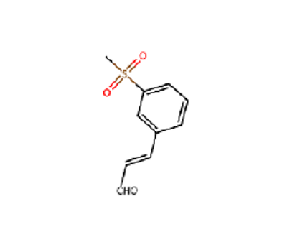 CS(=O)(=O)c1cccc(C=CC=O)c1